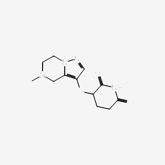 CN1CCn2ncc(OC3CCC(=O)NC3=O)c2C1